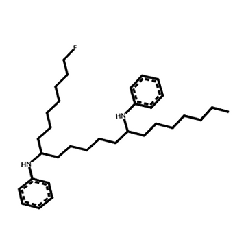 CCCCCCCC(CCCCCC(CCCCCCCF)Nc1ccccc1)Nc1ccccc1